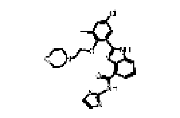 Cc1cc(Cl)cc(-c2nc3c(C(=O)Nc4nccs4)cccc3[nH]2)c1OCCN1CCOCC1